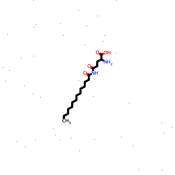 CCCCCCCCCCCCCC(=O)NC(=O)CCC(N)C(=O)O